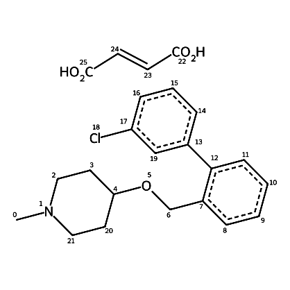 CN1CCC(OCc2ccccc2-c2cccc(Cl)c2)CC1.O=C(O)C=CC(=O)O